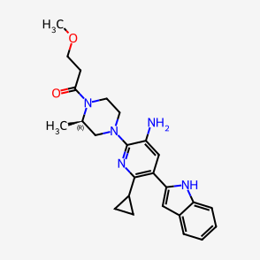 COCCC(=O)N1CCN(c2nc(C3CC3)c(-c3cc4ccccc4[nH]3)cc2N)C[C@H]1C